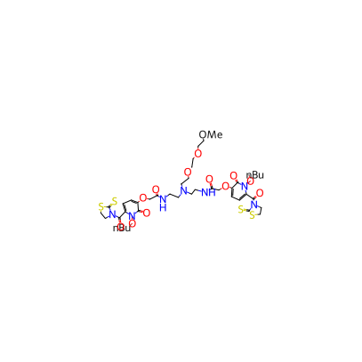 CCCCOn1c(C(=O)N2CCSC2=S)ccc(OCC(=O)NCCN(CCNC(=O)COc2ccc(C(=O)N3CCSC3=S)n(OCCCC)c2=O)CCOCCOCCOC)c1=O